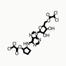 O=C(OCC1OC(n2cnc3c(N[C@@H]4CCCC4OC(=O)C(Cl)Cl)ncnc32)[C@H](O)[C@@H]1O)C(Cl)Cl